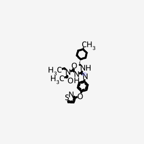 CCN(C(C)=O)C(=O)N/C(=N\c1ccc(Oc2ccsn2)cc1)NC[C@H]1CC[C@H](C)CC1